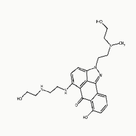 CN(CCO)CCn1nc2c3c(c(NCCNCCO)ccc31)C(=O)c1c(O)cccc1-2